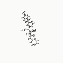 COc1ccc(S(=O)(=O)c2cc(CN(O)NC(=O)CC3CCCOCC3)ccn2)cc1.Cl